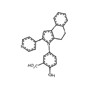 O=C(O)c1cc(-n2c(-c3ccncc3)cc3c2CCc2ccccc2-3)ccc1O